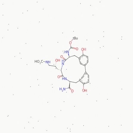 CC(C)(C)OC(=O)N[C@H]1Cc2cc(ccc2O)-c2ccc(O)c(c2)C[C@@H](C(N)=O)NC(=O)[C@H](C[C@@H](O)CNC(=O)O)NC1=O